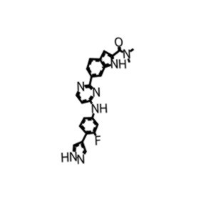 CN(C)C(=O)c1cc2ccc(-c3nccc(Nc4ccc(-c5cn[nH]c5)c(F)c4)n3)cc2[nH]1